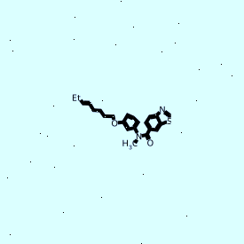 CCC=CCCCCOc1cccc(N(C)C(=O)c2ccc3ncsc3c2)c1